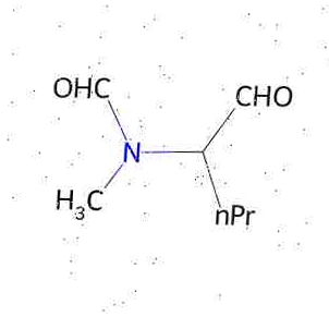 CCCC(C=O)N(C)C=O